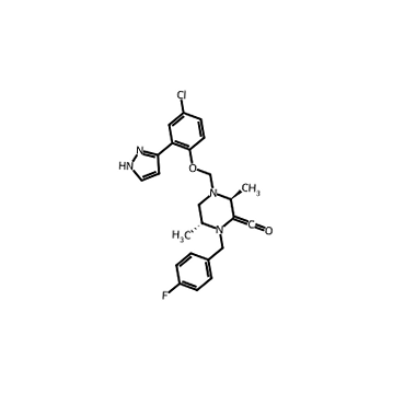 C[C@@H]1CN(COc2ccc(Cl)cc2-c2cc[nH]n2)[C@@H](C)C(=C=O)N1Cc1ccc(F)cc1